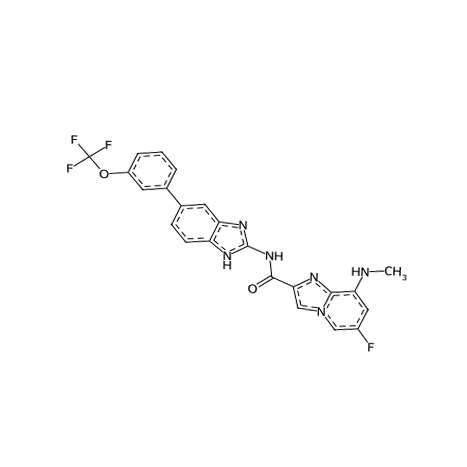 CNc1cc(F)cn2cc(C(=O)Nc3nc4cc(-c5cccc(OC(F)(F)F)c5)ccc4[nH]3)nc12